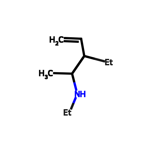 C=CC(CC)C(C)NCC